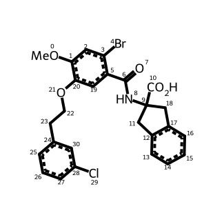 COc1cc(Br)c(C(=O)NC2(C(=O)O)Cc3ccccc3C2)cc1OCCc1cccc(Cl)c1